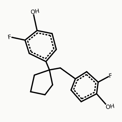 Oc1ccc(CC2(c3ccc(O)c(F)c3)CCCC2)cc1F